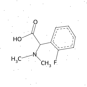 CN(C)C(C(=O)O)c1ccccc1F